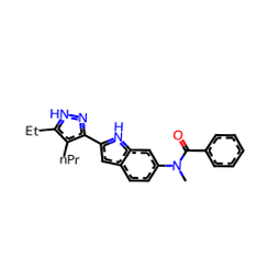 CCCc1c(-c2cc3ccc(N(C)C(=O)c4ccccc4)cc3[nH]2)n[nH]c1CC